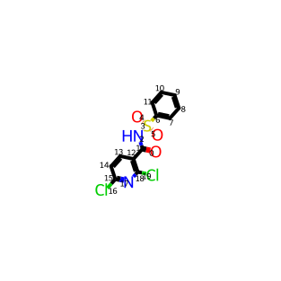 O=C(NS(=O)(=O)c1ccccc1)c1ccc(Cl)nc1Cl